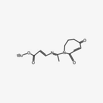 C/C(=N\C=C\C(=O)OC(C)(C)C)N1CCCC(=O)/C=C/C1=O